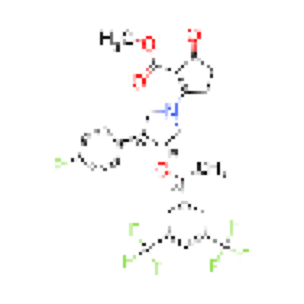 COC(=O)C1=C(N2C[C@H](O[C@H](C)c3cc(C(F)(F)F)cc(C(F)(F)F)c3)[C@@H](c3ccc(F)cc3)C2)CCC1=O